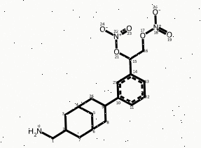 NCC1CC2CC(C1)CC(c1cccc(C(CO[N+](=O)[O-])O[N+](=O)[O-])c1)C2